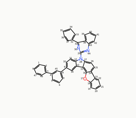 c1ccc(-c2cccc(-c3ccc4c(c3)c3c5oc6ccccc6c5ccc3n4-c3nc(-c4ccccc4)c4ccccc4n3)c2)cc1